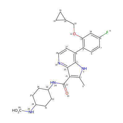 Cc1[nH]c2c(-c3ccc(F)cc3OCC3CC3)ccnc2c1C(=O)NC1CCC(NC(=O)O)CC1